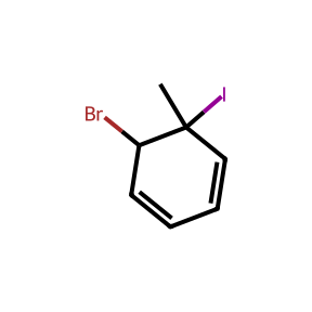 CC1(I)C=CC=CC1Br